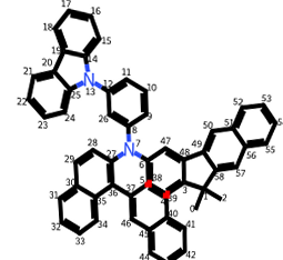 CC1(C)c2ccc(N(c3cccc(-n4c5ccccc5c5ccccc54)c3)c3ccc4ccccc4c3-c3ccc4ccccc4c3)cc2-c2cc3ccccc3cc21